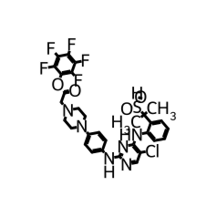 CC(C)(c1ccccc1Nc1nc(Nc2ccc(N3CCN(CC(=O)Oc4c(F)c(F)c(F)c(F)c4F)CC3)cc2)ncc1Cl)[SH](=O)=O